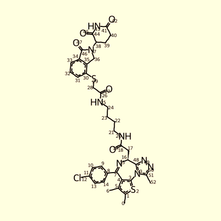 Cc1sc2c(c1C)C(c1ccc(Cl)cc1)=N[C@@H](CC(=O)NCCCCNC(=O)CSc1cccc3c1CN(C1CCC(=O)NC1=O)C3=O)c1nnc(C)n1-2